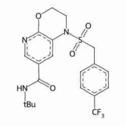 CC(C)(C)NC(=O)c1cnc2c(c1)N(S(=O)(=O)Cc1ccc(C(F)(F)F)cc1)CCO2